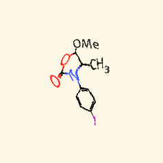 COC1OC(=O)N(c2ccc(I)cc2)C1C